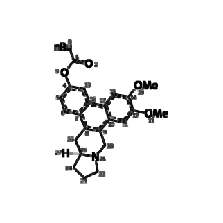 CCCCC(=O)Oc1ccc2c3c(c4cc(OC)c(OC)cc4c2c1)CN1CCC[C@H]1C3